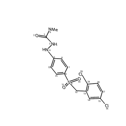 CNC(=O)NNc1ccc(S(=O)(=O)Cc2cc(Cl)ccc2Cl)cc1